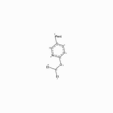 CCCC(C)c1ccc(OC(CC)CC)nc1